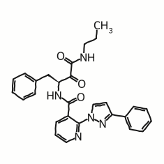 CCCNC(=O)C(=O)[C@H](Cc1ccccc1)NC(=O)c1cccnc1-n1ccc(-c2ccccc2)n1